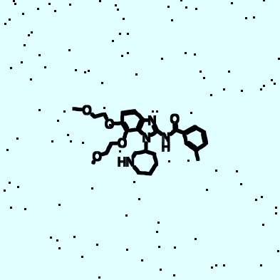 COCCOc1ccc2nc(NC(=O)c3cccc(C)c3)n(C3CCCCNC3)c2c1OCCOC